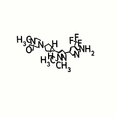 CC(C)n1nc(-c2cnc(N)c(C(F)(F)F)c2)cc1[C@H]1[C@@H]2C[C@H](N3CCN(C)C4(COC4)C3)C[C@@H]21